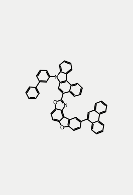 c1ccc(-c2cccc(-n3c4ccccc4c4c5ccccc5c(-c5nc6c(ccc7oc8ccc(-c9cc%10ccccc%10c%10ccccc9%10)cc8c76)o5)cc43)c2)cc1